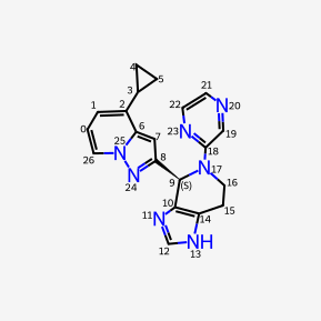 c1cc(C2CC2)c2cc([C@@H]3c4nc[nH]c4CCN3c3cnccn3)nn2c1